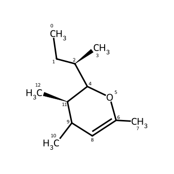 CC[C@@H](C)C1OC(C)=CC(C)[C@H]1C